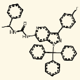 CC(NC(=O)Nc1cc2c(cn1)c(-c1ccc(F)cc1)nn2C(c1ccccc1)(c1ccccc1)c1ccccc1)c1ccccc1